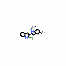 C[C](C)Cn1c(-c2cc3ccccc3nc2Cl)cc2cc(C(C)=O)ccc21